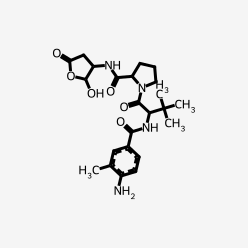 Cc1cc(C(=O)NC(C(=O)N2CCCC2C(=O)NC2CC(=O)OC2O)C(C)(C)C)ccc1N